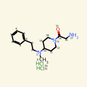 CN(CCc1ccccc1)C1CCN(C(=O)CN)CC1.Cl.Cl